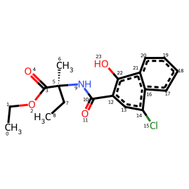 CCOC(=O)[C@](C)(CC)NC(=O)c1cc(Cl)c2ccccc2c1O